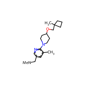 CNCc1cnc(N2CCC(OCC3(C)CCC3)CC2)c(C)c1